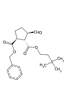 CS(C)(C)CCOC(=O)[C@H]1[C@H](C=O)CC[C@@H]1C(=O)OCc1ccccc1